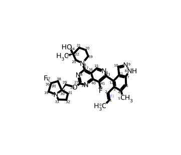 C/C=C/c1c(C)cc2[nH]ncc2c1-c1ncc2c(N3CCC[C@@](C)(O)C3)nc(OC[C@@]34CCCN3C[C@H](F)C4)nc2c1F